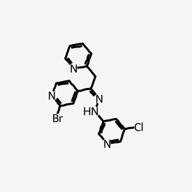 Clc1cncc(NN=C(Cc2ccccn2)c2ccnc(Br)c2)c1